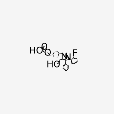 O=C(O)COCC1CCC(Cn2nc(-c3ccccc3CF)c(-c3ccccc3)c2CCO)CC1